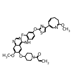 C=CC(=O)N1CCC(Oc2cc3c(Nc4ccc(Oc5nc(C6=C/N=C(/OC)CC/C=C\6)cs5)cc4F)ncnc3cc2OC)CC1